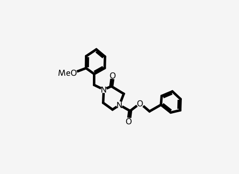 COc1ccccc1CN1CCN(C(=O)OCc2ccccc2)CC1=O